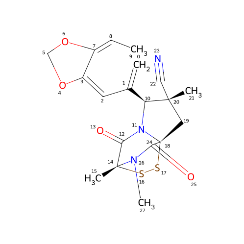 C=C(/C=C1/OCO/C1=C/C)[C@@H]1N2C(=O)[C@@]3(C)SS[C@]2(C[C@@]1(C)C#N)C(=O)N3C